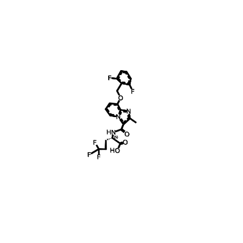 Cc1nc2c(OCc3c(F)cccc3F)cccn2c1C(=O)N[C@@H](CCC(F)(F)F)C(=O)O